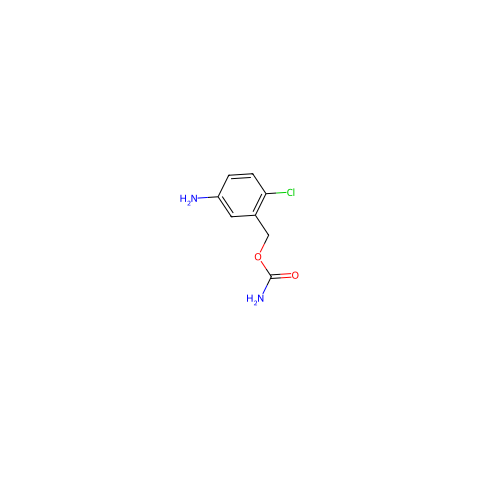 NC(=O)OCc1cc(N)ccc1Cl